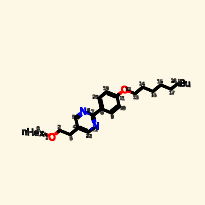 CCCCCCOCCc1cnc(-c2ccc(OCCCCCC(C)CC)cc2)nc1